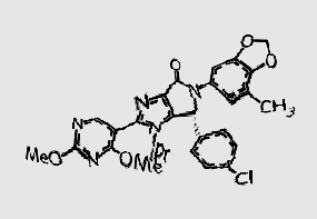 COc1ncc(-c2nc3c(n2C(C)C)[C@@H](c2ccc(Cl)cc2)N(c2cc(C)c4c(c2)OCO4)C3=O)c(OC)n1